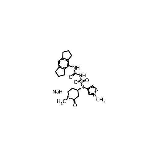 CN1CCC(N(c2cnn(C)c2)S(=O)(=O)NC(=O)Nc2c3c(cc4c2CCC4)CCC3)CC1=O.[NaH]